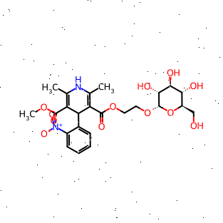 COC(=O)C1=C(C)NC(C)=C(C(=O)OCCO[C@H]2O[C@H](CO)[C@@H](O)[C@H](O)[C@H]2O)C1c1ccccc1[N+](=O)[O-]